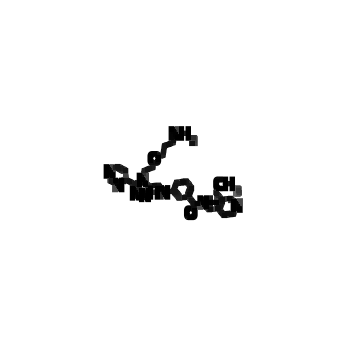 CCc1cnccc1CNC(=O)c1cccc(NCc2nnc(-c3ccncn3)n2CCOCCCN)c1